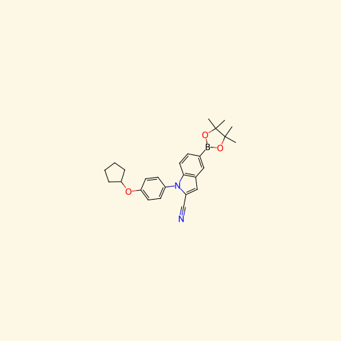 CC1(C)OB(c2ccc3c(c2)cc(C#N)n3-c2ccc(OC3CCCC3)cc2)OC1(C)C